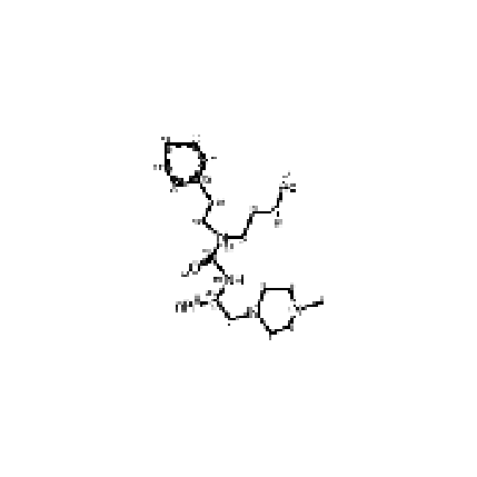 CCC[C@H](CN1CCN(C)CC1)NC(=O)N(CCSC(C)=O)CCc1ccccc1